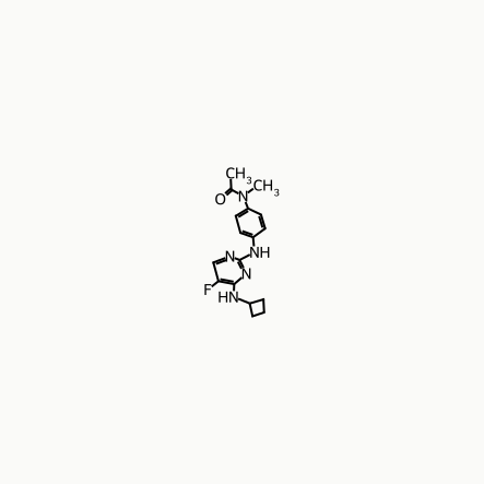 CC(=O)N(C)c1ccc(Nc2ncc(F)c(NC3CCC3)n2)cc1